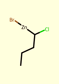 CCC[CH](Cl)[Zn][Br]